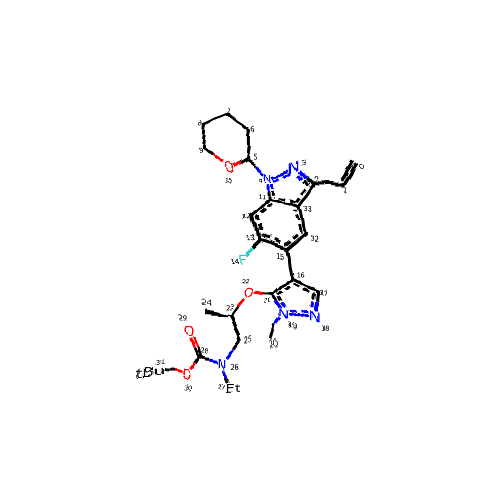 C=Cc1nn(C2CCCCO2)c2cc(F)c(-c3cnn(C)c3O[C@H](C)CN(CC)C(=O)OC(C)(C)C)cc12